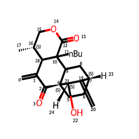 C=C1C(=O)[C@@]23CC[C@@H](CC2C2(CCCC)C(=O)OC[C@@H](C)C12)C(=C)[C@@H]3O